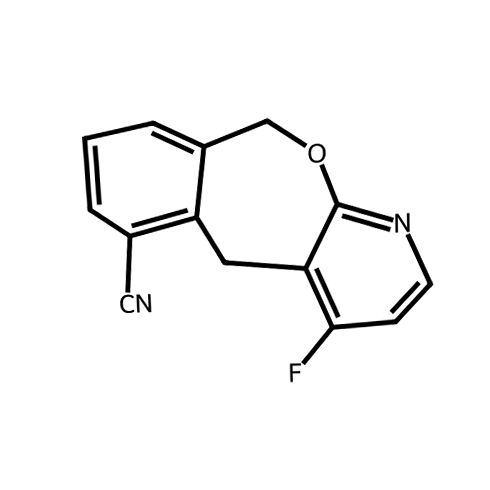 N#Cc1cccc2c1Cc1c(F)ccnc1OC2